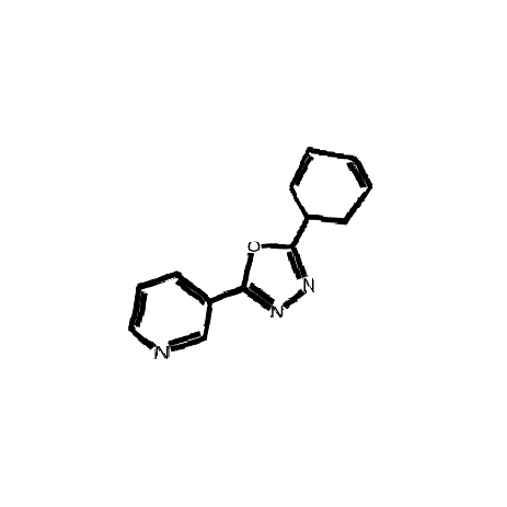 C1=CCC(c2nnc(-c3cccnc3)o2)C=C1